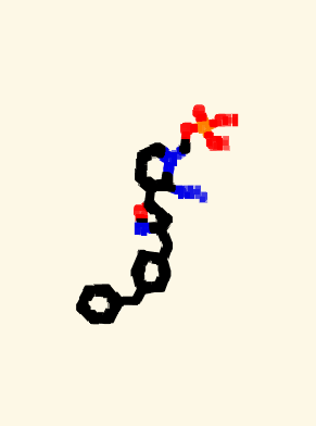 Nc1c(-c2cc(Cc3ccc(Cc4ccccc4)cc3)no2)ccc[n+]1COP(=O)(O)O